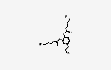 CC(C)CCCCC(=O)Oc1ccc(CCC(C)C)cc1OC(=O)CCCCC(C)C